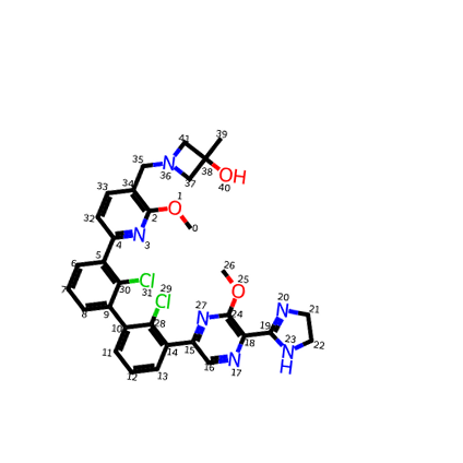 COc1nc(-c2cccc(-c3cccc(-c4cnc(C5=NCCN5)c(OC)n4)c3Cl)c2Cl)ccc1CN1CC(C)(O)C1